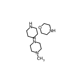 C1CCNCC1.C1COCCN1.CN1CCNCC1